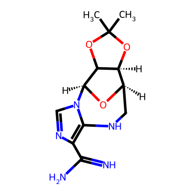 CC1(C)OC2[C@@H](O1)[C@H]1CNc3c(C(=N)N)ncn3[C@@H]2O1